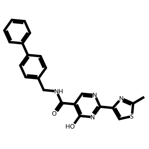 Cc1nc(-c2ncc(C(=O)NCc3ccc(-c4ccccc4)cc3)c(O)n2)cs1